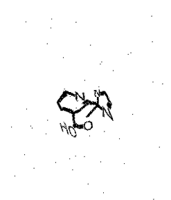 CC1(c2ncccc2C(=O)O)N=CC=N1